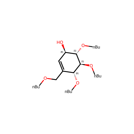 CCCCOCC1=C[C@@H](O)[C@H](OCCCC)[C@@H](OCCCC)[C@@H]1OCCCC